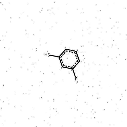 Fc1[c]c(S)ccc1